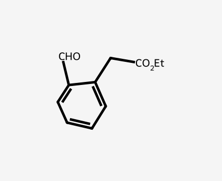 CCOC(=O)Cc1ccccc1C=O